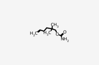 C=CCCC(C)(C)COC(N)=O